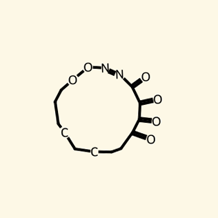 O=C1CCCCCCCCOO/N=N\C(=O)C(=O)C1=O